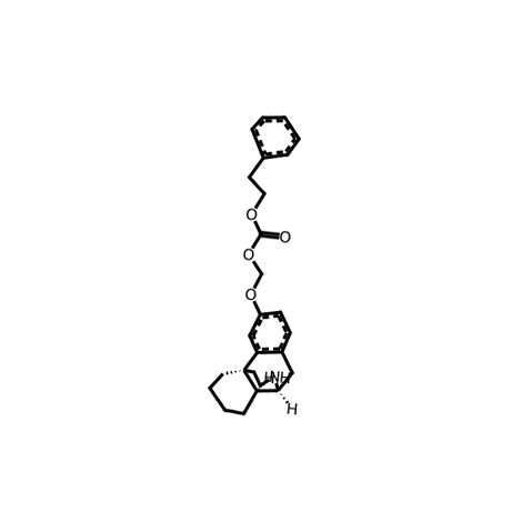 O=C(OCCc1ccccc1)OCOc1ccc2c(c1)[C@]13CCCC[C@@H]1[C@H](C2)NCC3